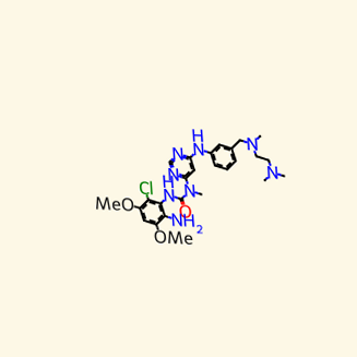 COc1cc(OC)c(Cl)c(NC(=O)N(C)c2cc(Nc3cccc(CN(C)CCN(C)C)c3)ncn2)c1N